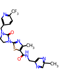 Cc1cnc(CNC(=O)c2sc(N3CCN(Cc4ccc(C(F)(F)F)nc4)C3=O)nc2C)cn1